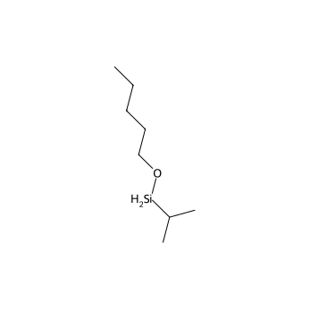 CCCCCO[SiH2]C(C)C